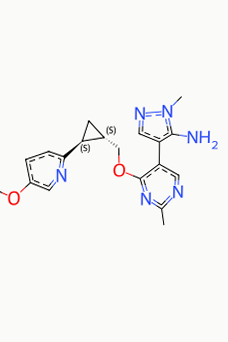 COc1ccc([C@H]2C[C@@H]2COc2nc(C)ncc2-c2cnn(C)c2N)nc1